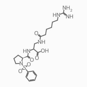 N=C(N)NCCCCCC(=O)NCC(NC(=O)[C@@H]1CCCN1S(=O)(=O)c1ccccc1)C(=O)O